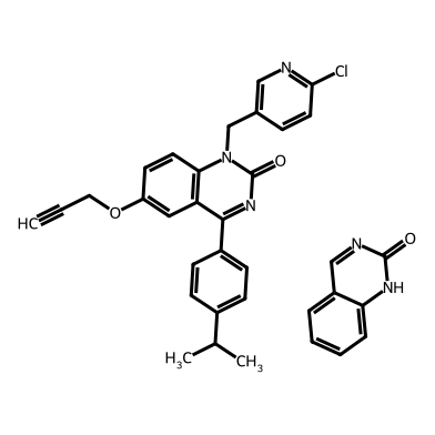 C#CCOc1ccc2c(c1)c(-c1ccc(C(C)C)cc1)nc(=O)n2Cc1ccc(Cl)nc1.O=c1ncc2ccccc2[nH]1